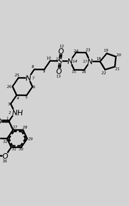 O=C(NCC1CCN(CCCS(=O)(=O)N2CCN(C3CCCC3)CC2)CC1)c1cccc2c1OCCO2